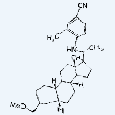 COC[C@H]1CC[C@@H]2C3CC[C@@]4(C)C(CCC4[C@@H](C)Nc4ccc(C#N)cc4C)[C@@H]3CC[C@@H]2C1